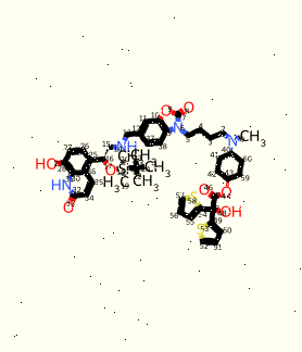 CN(CCCCn1c(=O)oc2cc(CNC[C@H](O[Si](C)(C)C(C)(C)C)c3ccc(O)c4[nH]c(=O)ccc34)ccc21)[C@H]1CC[C@H](OC(=O)C(O)(c2cccs2)c2cccs2)CC1